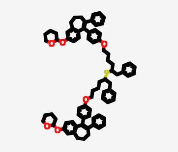 c1ccc(CC(CCCCOc2ccc(C3=C(c4ccccc4)CCCc4cc(OC5CCCCO5)ccc43)cc2)SC(CCCCOc2ccc(C3=C(c4ccccc4)CCCc4cc(OC5CCCCO5)ccc43)cc2)Cc2ccccc2)cc1